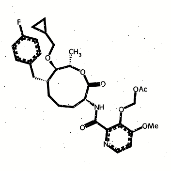 COc1ccnc(C(=O)N[C@H]2CCC[C@H](Cc3ccc(F)cc3)[C@@H](OCC3CC3)[C@H](C)OC2=O)c1OCOC(C)=O